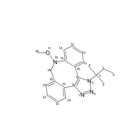 CCC(C)(C)n1nnc2c1-c1ccccc1N(OC)Cc1ccccc1-2